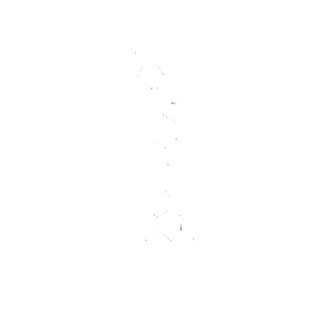 Nc1ccc(-c2csc(NC(=O)N3CCN(c4nc(N5CCCC5)nc(N5CCCC5)n4)CC3)n2)cc1